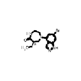 CC[C@@H]1CN(c2cc(Br)cc3[nH]ncc23)CCNC1=O